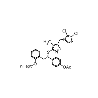 CCCCCCCOc1ccccc1CN(Sc1nnc(Cn2cnc(Cl)c2Cl)n1C)c1ccc(OC(C)=O)cc1